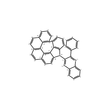 c1ccc(-c2nc3ccccc3nc2-n2c3cccc4c3c3c5c(ccc6ccc7cccc-4c7c65)ccc32)cc1